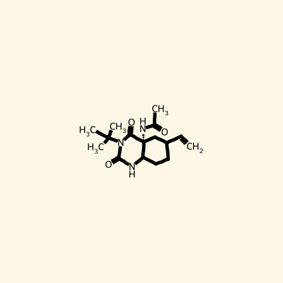 C=CC1CCC2NC(=O)N(C(C)(C)C)C(=O)[C@@]2(NC(C)=O)C1